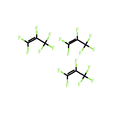 FC(F)=C(F)C(F)(F)F.FC(F)=C(F)C(F)(F)F.FC(F)=C(F)C(F)(F)F